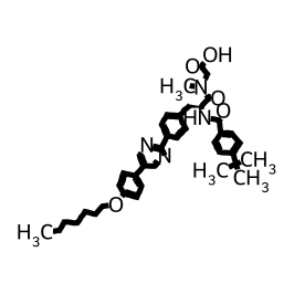 CCCCCCCOc1ccc(-c2cnc(-c3ccc(C[C@H](NC(=O)c4ccc(C(C)(C)C)cc4)C(=O)N(C)CC(=O)O)cc3)nc2)cc1